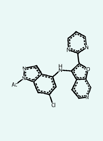 CC(=O)n1ncc2c(Nc3c(-c4ncccn4)oc4cnccc34)cc(Cl)cc21